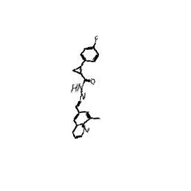 Cc1cc(C=NNC(=O)C2CC2c2ccc(F)cc2)cc2cccnc12